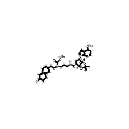 CNc1ncnc2c1ccn2[C@@H]1C[C@H](CNCCCN(CCc2ccc3cc(Cl)c(Cl)cc3c2)C(=O)OC(C)(C)C)[C@H]2OC(C)(C)O[C@H]21